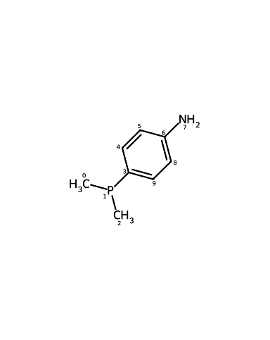 CP(C)c1ccc(N)cc1